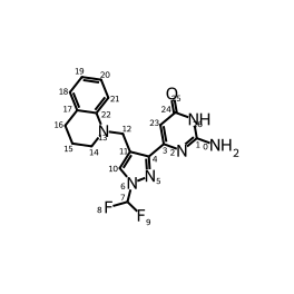 Nc1nc(-c2nn(C(F)F)cc2CN2CCCc3ccccc32)cc(=O)[nH]1